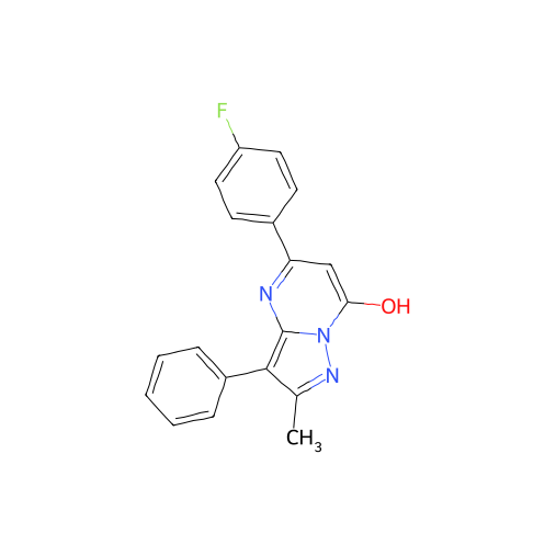 Cc1nn2c(O)cc(-c3ccc(F)cc3)nc2c1-c1ccccc1